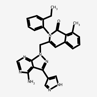 CCc1ccccc1-n1c(Cn2nc(-c3cn[nH]c3)c3c(N)ncnc32)cc2cccc(C)c2c1=O